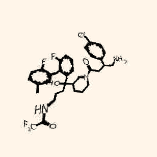 Cc1ccc(F)c(-c2c(F)cccc2C(O)(CCCNC(=O)C(F)(F)F)C2CCCN(C(=O)CC(CN)c3ccc(Cl)cc3)C2)c1